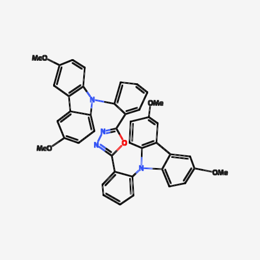 COc1ccc2c(c1)c1cc(OC)ccc1n2-c1ccccc1-c1nnc(-c2ccccc2-n2c3ccc(OC)cc3c3cc(OC)ccc32)o1